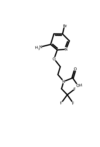 Nc1cc(Br)cnc1OCCN(CC(F)(F)F)C(=O)O